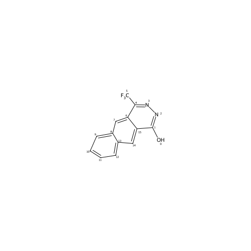 Oc1nnc(C(F)(F)F)c2cc3ccccc3cc12